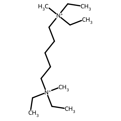 CC[N+](C)(CC)CCCCC[N+](C)(CC)CC